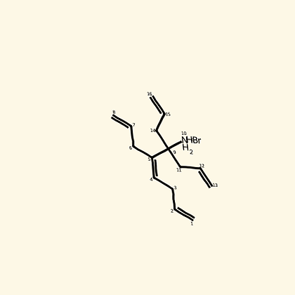 Br.C=CCC=C(CC=C)C(N)(CC=C)CC=C